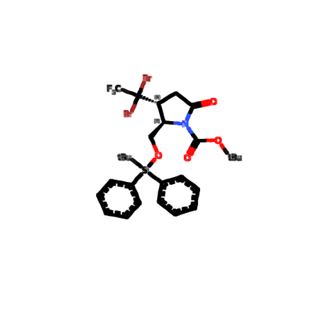 CC(C)(C)OC(=O)N1C(=O)C[C@@H](C(Br)(Br)C(F)(F)F)[C@@H]1CO[Si](c1ccccc1)(c1ccccc1)C(C)(C)C